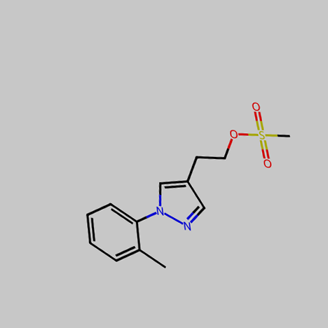 Cc1ccccc1-n1cc(CCOS(C)(=O)=O)cn1